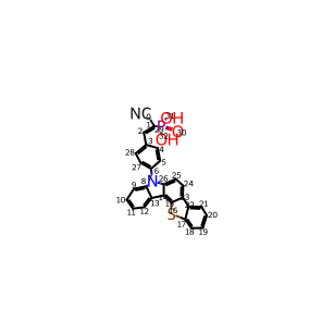 N#CC(=Cc1ccc(-n2c3ccccc3c3c4sc5ccccc5c4ccc32)cc1)P(=O)(O)O